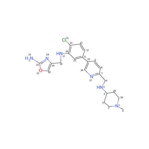 CN1CCC(NCc2ccc(-c3ccc(Cl)c(NCc4coc(N)n4)c3)cn2)CC1